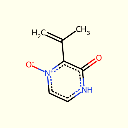 C=C(C)c1c(=O)[nH]cc[n+]1[O-]